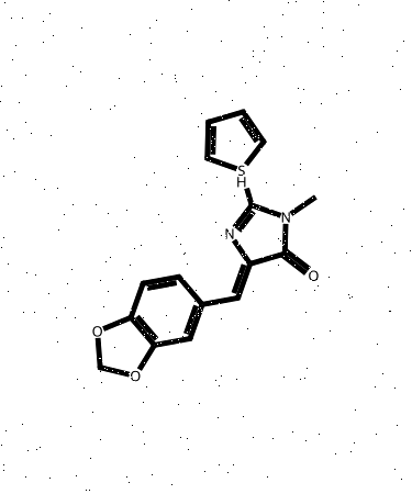 CN1C(=O)/C(=C/c2ccc3c(c2)OCO3)N=C1[SH]1C=CC=C1